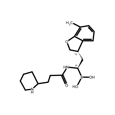 Cc1cccc2c1OC[C@H]2C[C@H](NC(=O)CCC1CCCCN1)B(O)O